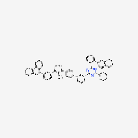 N#Cc1c(-c2ccc(-c3cccc(-c4nc(-c5ccccc5)nc(-c5ccccc5-c5ccc6ccccc6c5)n4)c3)cc2)cccc1-c1cccc(-c2cc3ccccc3c3ccccc23)c1